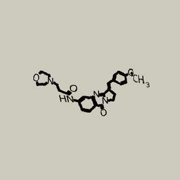 COc1ccc(C=C2CCn3c2nc2cc(NC(=O)CCN4CCOCC4)ccc2c3=O)cc1